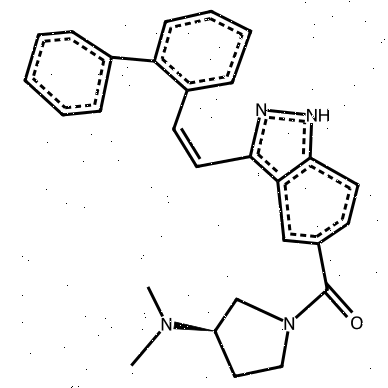 CN(C)[C@@H]1CCN(C(=O)c2ccc3[nH]nc(/C=C\c4ccccc4-c4ccccc4)c3c2)C1